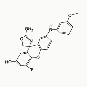 COc1cccc(Nc2ccc3c(c2)C2(COC(N)=N2)c2cc(O)cc(F)c2O3)c1